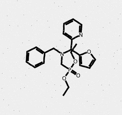 CCOP(=O)(CN(Cc1ccccc1)C(c1ccccn1)c1ccco1)OCC